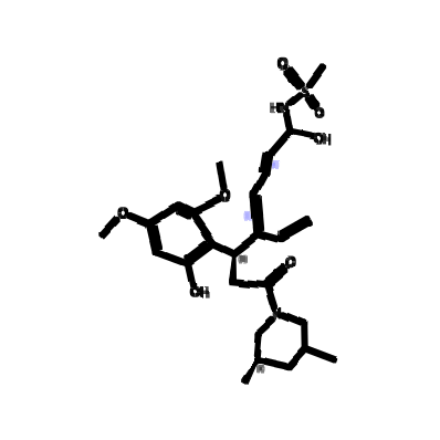 C=C/C(=C\C=C\C(O)NS(C)(=O)=O)[C@@H](CC(=O)N1CC(C)C[C@@H](C)C1)c1c(O)cc(OC)cc1OC